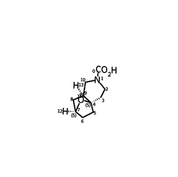 O=C(O)N1CC[C@@]23CC[C@@H](C[C@H]2C1)O3